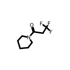 O=C(CC(F)(F)F)N1CCCCC1